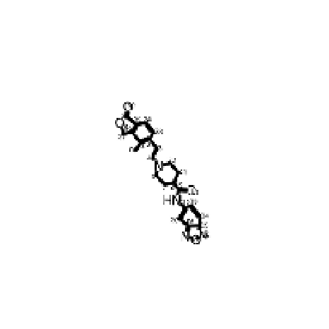 Cc1c(CCN2CCC(C(=O)Nc3ccc4nonc4c3)CC2)ccc2c1COC2=O